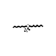 CCCCCCCC[SiH](CCCCCCCC)N(C)[Si](C)(C)C